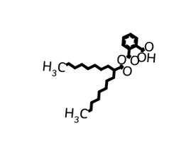 CCCCCCCCC(CCCCCCCC)C(=O)OC(=O)c1ccccc1C(=O)O